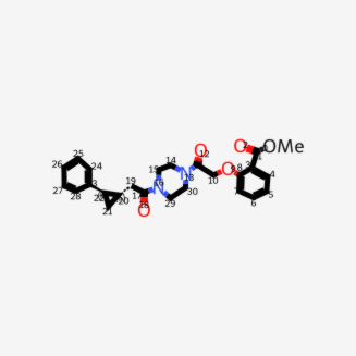 COC(=O)c1ccccc1OCC(=O)N1CCN(C(=O)C[C@@H]2C[C@H]2c2ccccc2)CC1